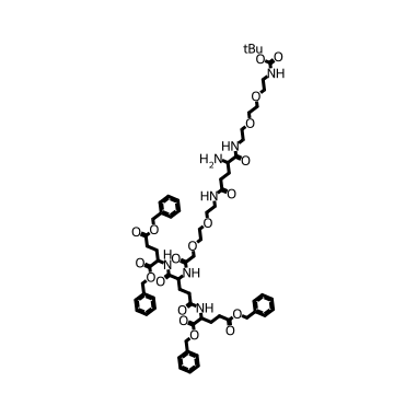 CC(C)(C)OC(=O)NCCOCCOCCNC(=O)C(N)CCC(=O)NCCOCCOCC(=O)NC(CCC(=O)NC(CCC(=O)OCc1ccccc1)C(=O)OCc1ccccc1)C(=O)NC(CCC(=O)OCc1ccccc1)C(=O)OCc1ccccc1